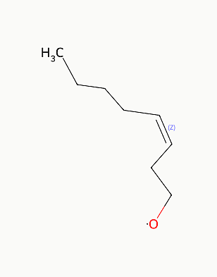 CCCC/C=C\CC[O]